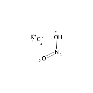 O=NO.[Cl-].[K+]